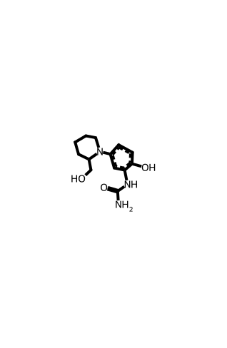 NC(=O)Nc1cc(N2CCCCC2CO)ccc1O